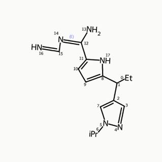 CCC(c1cnn(C(C)C)c1)c1ccc(/C(N)=N\C=N)[nH]1